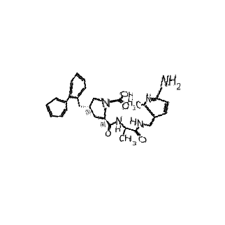 Cc1nc(N)ccc1CNC(=O)C(C)NC(=O)[C@H]1C[C@H](Cc2ccccc2-c2ccccc2)CN1C(=O)O